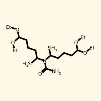 CCOC(CCCC([SiH3])N(C(N)=O)C([SiH3])CCCC(OCC)OCC)OCC